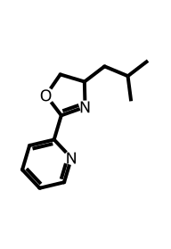 CC(C)CC1COC(c2ccccn2)=N1